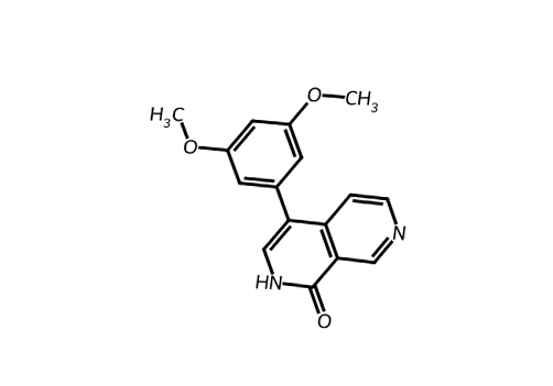 COc1cc(OC)cc(-c2c[nH]c(=O)c3cnccc23)c1